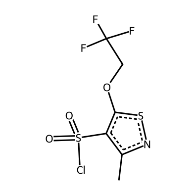 Cc1nsc(OCC(F)(F)F)c1S(=O)(=O)Cl